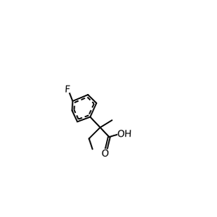 CCC(C)(C(=O)O)c1ccc(F)cc1